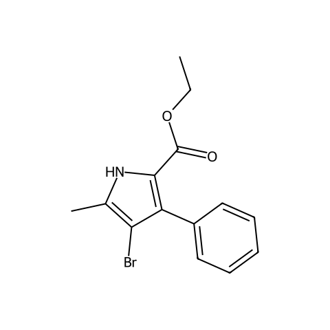 CCOC(=O)c1[nH]c(C)c(Br)c1-c1ccccc1